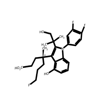 CC(C)(CO)c1c([C@](C)(CCCF)CCC(=O)O)c2c(O)cccc2n1-c1ccc(F)c(F)c1